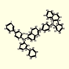 c1ccc(-c2ccc(N(c3cccc(-c4ccccc4)c3)c3ccc4cc(-c5ccc(-n6c7ccccc7c7ccc8ccccc8c76)cc5)ccc4c3)cc2)cc1